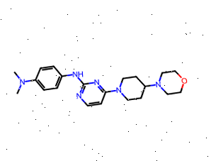 CN(C)c1ccc(Nc2nccc(N3CCC(N4CCOCC4)CC3)n2)cc1